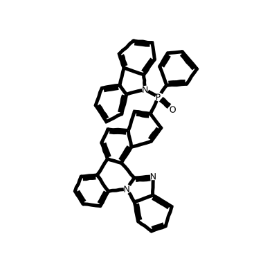 O=P(c1ccccc1)(c1ccc2c(ccc3c4ccccc4n4c5ccccc5nc4c23)c1)n1c2ccccc2c2ccccc21